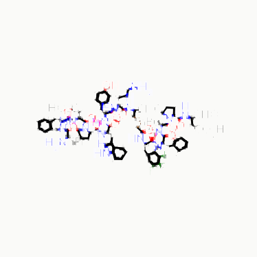 CCCC[C@@H](C(=O)N1CCC[C@@H]1C(=O)N[C@H](C=O)CC(=O)O)N(C)C(=O)[C@H](Cc1ccccc1)N(C)C(=O)[C@H](Cc1cc(F)c(F)c(F)c1)NC(=O)CSC[C@@H](C=O)NC(=O)[C@H](CCCN)NC(=O)[C@H](Cc1ccc(O)cc1)NC(=O)[C@H](Cc1c[nH]c2ccccc12)NC(=O)[C@H]1CCCN1C(=O)[C@H](CC(=O)O)NC(=O)[C@H](Cc1ccccc1)N(C)C(=O)[C@@H](N)C(C)C